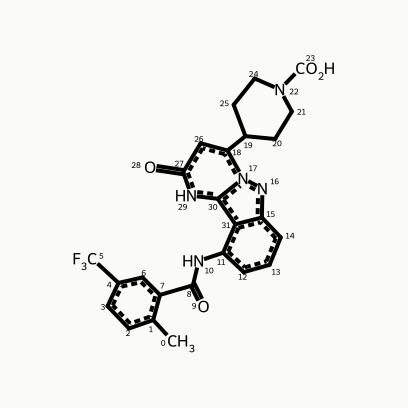 Cc1ccc(C(F)(F)F)cc1C(=O)Nc1cccc2nn3c(C4CCN(C(=O)O)CC4)cc(=O)[nH]c3c12